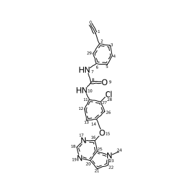 C#Cc1cccc(NC(=O)Nc2ccc(Oc3ncnc4ccn(C)c34)cc2Cl)c1